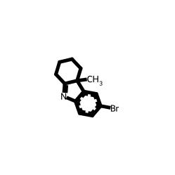 CC12CCCCC1=Nc1ccc(Br)cc12